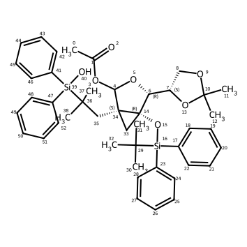 CC(=O)OC1O[C@H]([C@@H]2COC(C)(C)O2)[C@@]2(O[Si](c3ccccc3)(c3ccccc3)C(C)(C)C)C[C@@]12CC(C)(C)[Si](O)(c1ccccc1)c1ccccc1